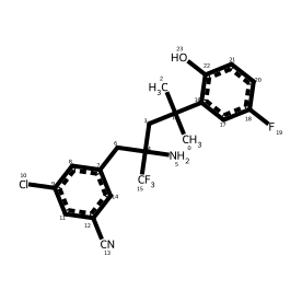 CC(C)(CC(N)(Cc1cc(Cl)cc(C#N)c1)C(F)(F)F)c1cc(F)ccc1O